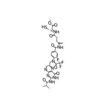 COC(=O)[C@@H](CS)NC(=O)CC[C@@H](C)NC(=O)c1ccc(N(Cc2cnc3nc(NC(=O)C(C)C)[nH]c(=O)c3n2)C(=O)C(F)(F)F)cc1